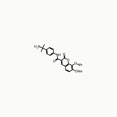 COc1ccc2cc(C(=O)Nc3ccc(C(C)(C)N)cc3)c(=O)oc2c1OC(C)C